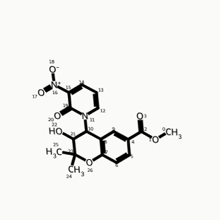 COC(=O)c1ccc2c(c1)C(n1cccc([N+](=O)[O-])c1=O)C(O)C(C)(C)O2